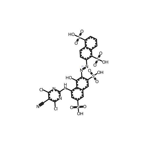 N#Cc1c(Cl)nc(Nc2cc(S(=O)(=O)O)cc3cc(S(=O)(=O)O)c(/N=N/c4ccc5c(S(=O)(=O)O)cccc5c4S(=O)(=O)O)c(O)c23)nc1Cl